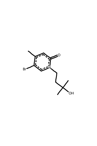 Cc1cc(=O)n(CCC(C)(C)O)cc1Br